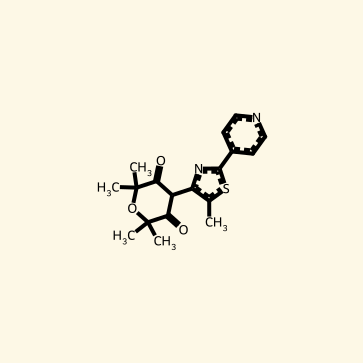 Cc1sc(-c2ccncc2)nc1C1C(=O)C(C)(C)OC(C)(C)C1=O